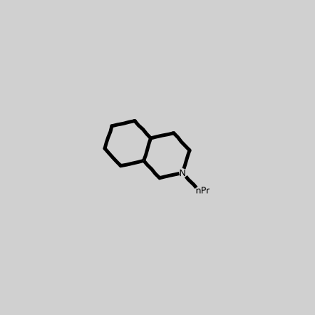 CCCN1CCC2CCCCC2C1